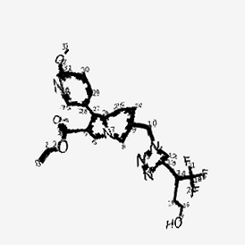 CCOC(=O)c1cn2cc(Cn3cc(C(CCO)C(F)(F)F)nn3)ccc2c1-c1ccc(OC)nc1